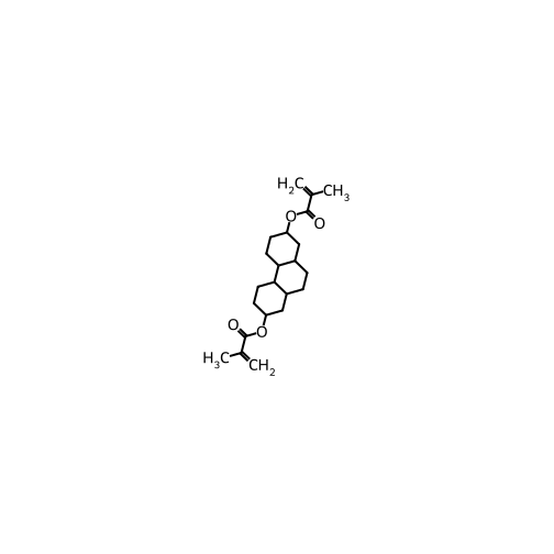 C=C(C)C(=O)OC1CCC2C(CCC3CC(OC(=O)C(=C)C)CCC32)C1